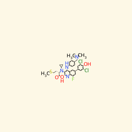 CSCC[C@@H](C(=O)O)N(c1cnc2c(F)cc(-c3cc(Cl)c(O)c(Cl)c3)cc2c1Nc1ccc(CN(C)C)cc1)C1CC1